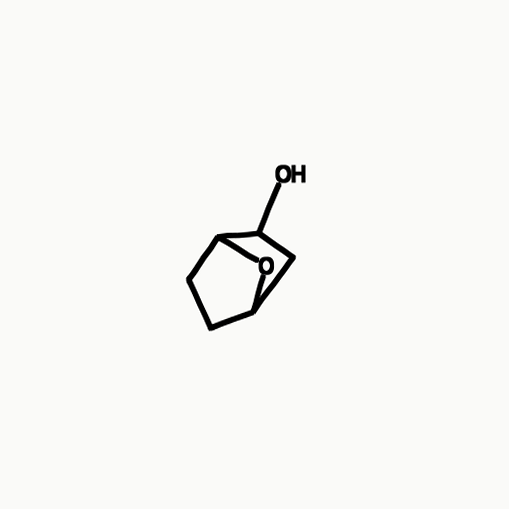 OC1CC2CCC1O2